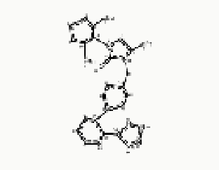 CCCc1cn(-c2c(C(C)(C)C)cccc2C(C)(C)C)c(=O)n1Cc1ccc(-c2cccnc2-c2nnn[nH]2)cc1